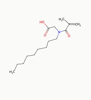 C=C(C)C(=O)N(CCCCCCCCC)CC(=O)O